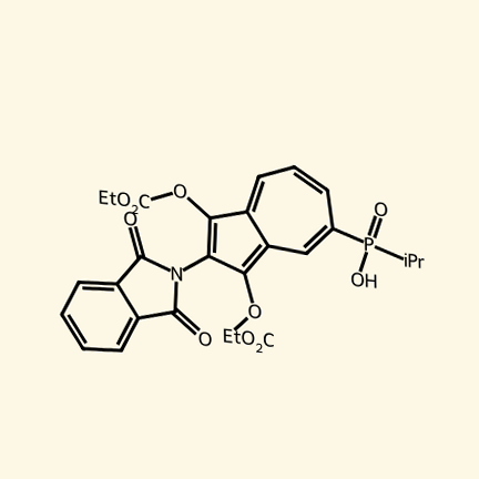 CCOC(=O)Oc1c2cccc(P(=O)(O)C(C)C)cc-2c(OC(=O)OCC)c1N1C(=O)c2ccccc2C1=O